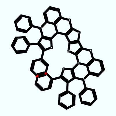 c1ccc(-c2oc3c(c2-c2ccccc2)N(c2ccccc2)c2cccc4c2B3c2sc3c5c(sc3c2O4)Oc2cccc3c2B5c2oc(-c4ccccc4)c(-c4ccccc4)c2N3c2ccccc2)cc1